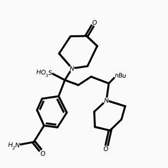 CCCCC(CCC(c1ccc(C(N)=O)cc1)(N1CCC(=O)CC1)S(=O)(=O)O)N1CCC(=O)CC1